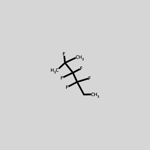 CCC(F)(F)C(F)(F)C(C)(C)F